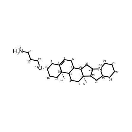 C[C@]12CCC3C(CC=C4C[C@@H](OCCCN)CC[C@@]43C)C1CC1C2CC2CCCCN21